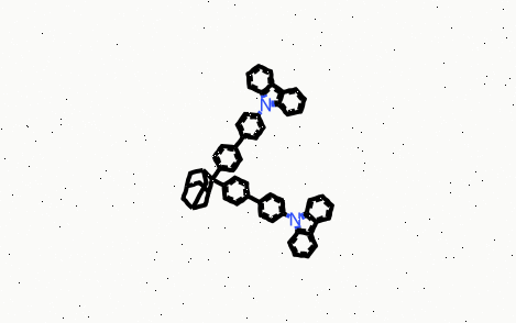 c1ccc2c(c1)c1ccccc1n2-c1ccc(-c2ccc(C3(c4ccc(-c5ccc(-n6c7ccccc7c7ccccc76)cc5)cc4)C4CC5CC(C4)CC3C5)cc2)cc1